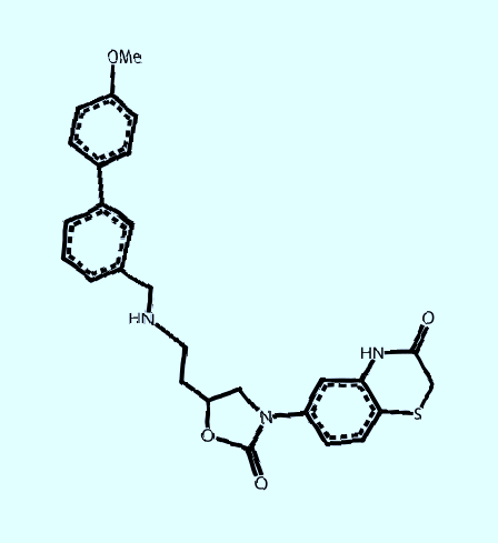 COc1ccc(-c2cccc(CNCCC3CN(c4ccc5c(c4)NC(=O)CS5)C(=O)O3)c2)cc1